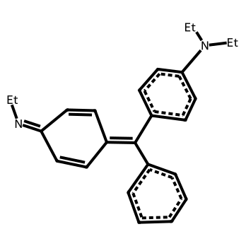 CCN=C1C=CC(=C(c2ccccc2)c2ccc(N(CC)CC)cc2)C=C1